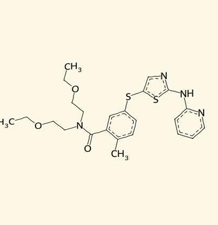 CCOCCN(CCOCC)C(=O)c1cc(Sc2cnc(Nc3ccccn3)s2)ccc1C